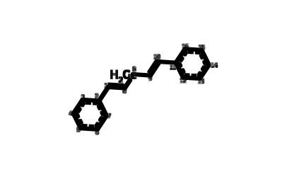 [CH](=Cc1ccccc1)[GeH2][CH]=Cc1ccccc1